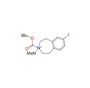 CN[N+]1(C(=O)OC(C)(C)C)CCc2ccc(I)cc2CC1